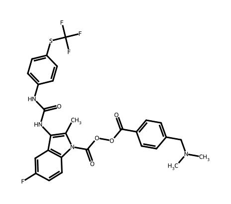 Cc1c(NC(=O)Nc2ccc(SC(F)(F)F)cc2)c2cc(F)ccc2n1C(=O)OOC(=O)c1ccc(CN(C)C)cc1